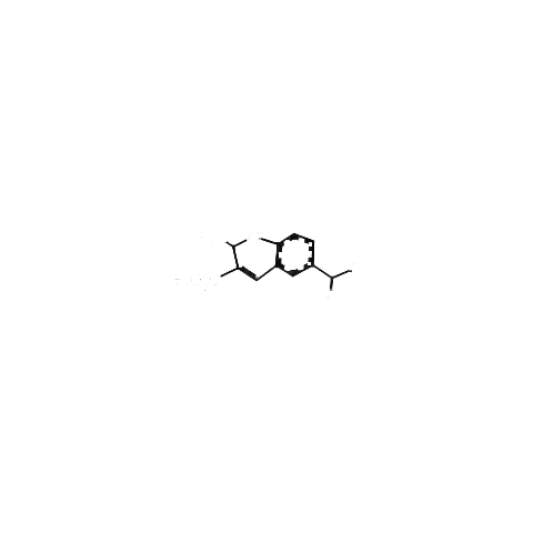 CCOC(=O)C1=Cc2cc(C(F)F)ccc2OC1C(F)(F)F